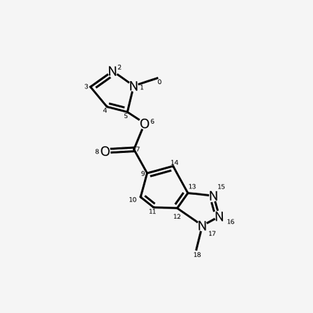 Cn1nccc1OC(=O)c1ccc2c(c1)nnn2C